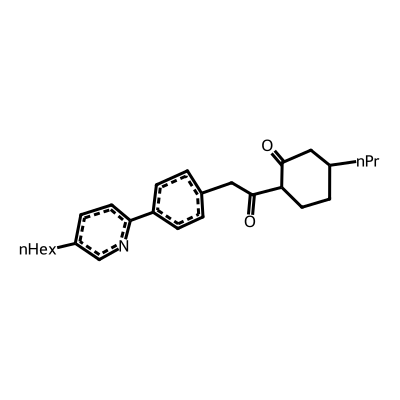 CCCCCCc1ccc(-c2ccc(CC(=O)C3CCC(CCC)CC3=O)cc2)nc1